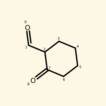 O=CC1CCCCC1=O